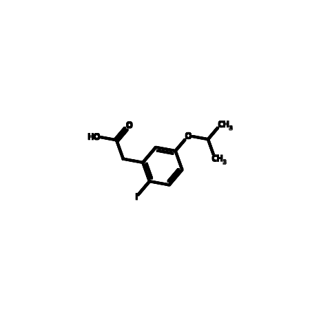 CC(C)Oc1ccc(I)c(CC(=O)O)c1